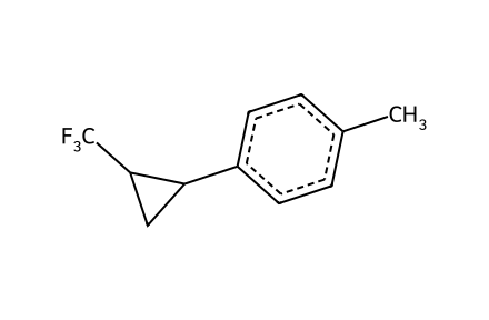 Cc1ccc(C2CC2C(F)(F)F)cc1